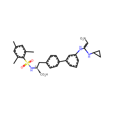 Cc1cc(C)c(S(=O)(=O)N[C@@H](Cc2ccc(-c3cccc(N/C(=C\[N+](=O)[O-])NC4CC4)c3)cc2)C(=O)O)c(C)c1